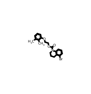 Cc1cccc(OCCOC(=O)N2CCCc3c(Br)cccc32)c1C